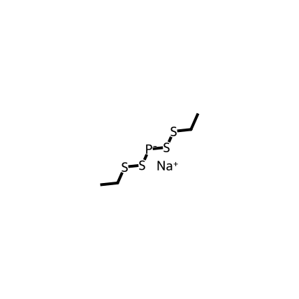 CCSS[P-]SSCC.[Na+]